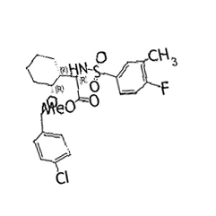 COC(=O)[C@H](NS(=O)(=O)c1ccc(F)c(C)c1)[C@H]1CCCC[C@H]1OCc1ccc(Cl)cc1